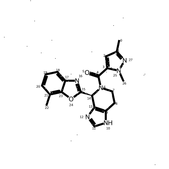 Cc1cc(C(=O)N2CCc3[nH]cnc3[C@H]2c2nc3cccc(C)c3o2)n(C)n1